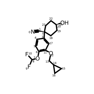 N#C[C@]1(c2ccc(OC(F)F)c(OCC3CC3)c2)CC[C@H](O)CC1